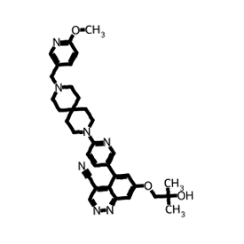 COc1ccc(CN2CCC3(CC2)CCN(c2ccc(-c4cc(OCC(C)(C)O)cc5nncc(C#N)c45)cn2)CC3)cn1